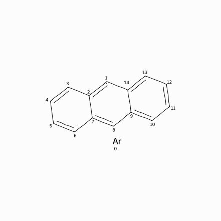 [Ar].[c]1c2ccccc2cc2ccccc12